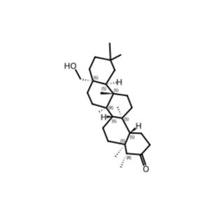 C[C@H]1C(=O)CC[C@@H]2[C@]1(C)CC[C@H]1[C@@]2(C)CC[C@@]2(C)[C@@H]3CC(C)(C)CC[C@]3(CO)CC[C@]12C